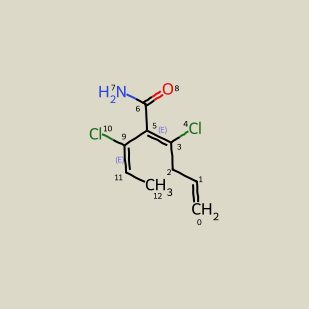 C=CC/C(Cl)=C(C(N)=O)\C(Cl)=C/C